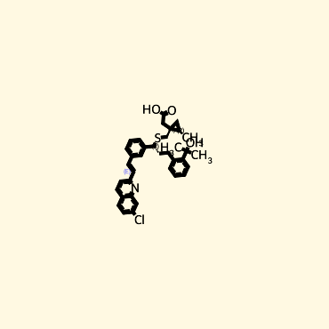 C[C@@H]1C[C@@]1(CS[C@H](CCc1ccccc1C(C)(C)O)c1cccc(/C=C/c2ccc3ccc(Cl)cc3n2)c1)CC(=O)O